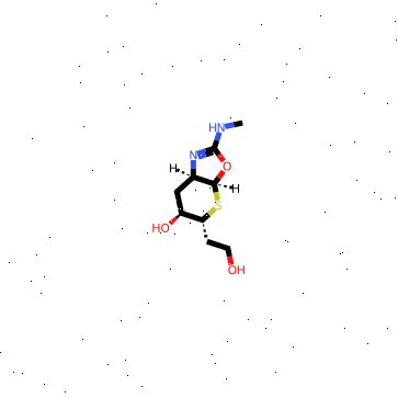 CNC1=N[C@@H]2C[C@H](O)[C@@H](CCO)S[C@@H]2O1